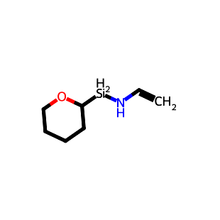 C=CN[SiH2]C1CCCCO1